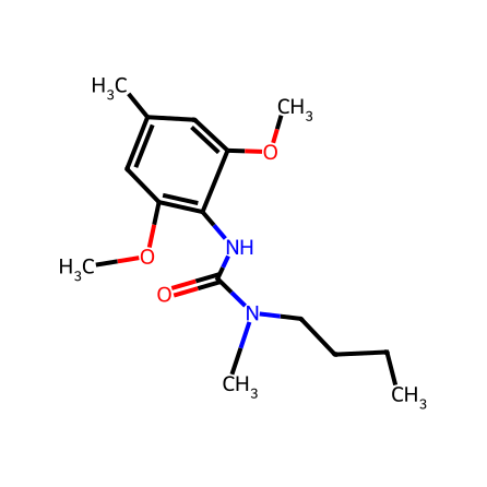 CCCCN(C)C(=O)Nc1c(OC)cc(C)cc1OC